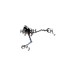 CCCCCCCC/C=C\CCCCCCCC(=O)NC(C)(CCCCCCCCCCCCCCCCCC)[N+]1=CNCC1.COS(=O)(=O)[O-]